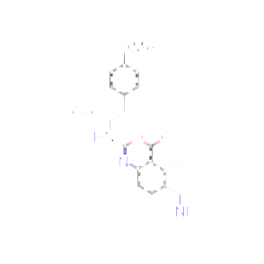 COc1ccc(C[C@H](Nc2nc3ccc(CN)c(C)c3c(=O)o2)C(=O)O)cc1